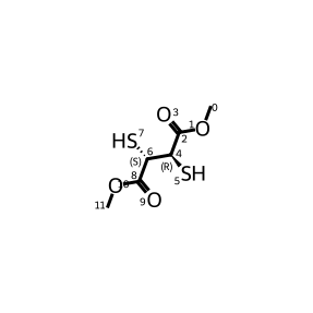 COC(=O)[C@@H](S)[C@@H](S)C(=O)OC